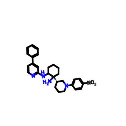 NC1([C@H]2CCCN(c3ccc([N+](=O)[O-])cc3)C2)CCCCC1Nc1cc(-c2ccccc2)ccn1